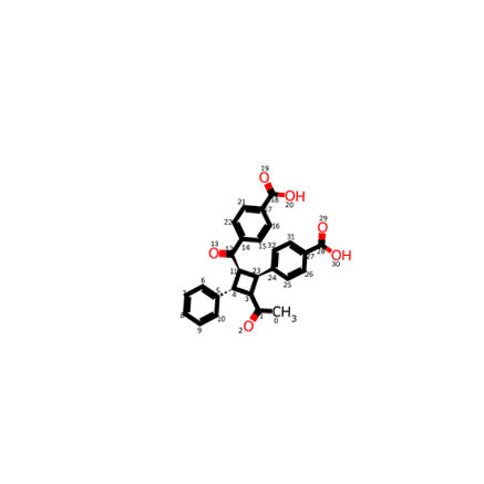 CC(=O)C1[C@H](c2ccccc2)[C@@H](C(=O)c2ccc(C(=O)O)cc2)[C@H]1c1ccc(C(=O)O)cc1